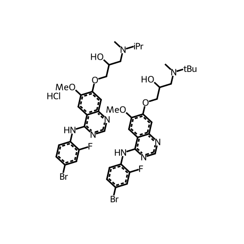 COc1cc2c(Nc3ccc(Br)cc3F)ncnc2cc1OCC(O)CN(C)C(C)(C)C.COc1cc2c(Nc3ccc(Br)cc3F)ncnc2cc1OCC(O)CN(C)C(C)C.Cl